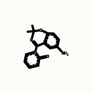 CC1(C)N=C(n2ccccc2=O)c2cc(N)ccc2O1